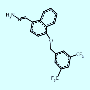 NN=Cc1ccc(OCc2cc(C(F)(F)F)cc(C(F)(F)F)c2)c2ccccc12